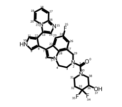 O=C(N1CCn2cc(-c3c[nH]cc3-c3cnc4ccccn34)c3cc(F)cc(c32)C1)N1CCC(F)(F)C(O)C1